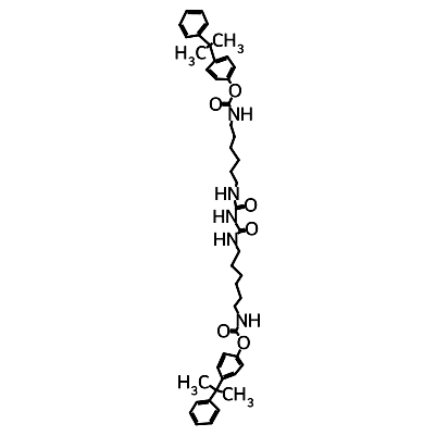 CC(C)(c1ccccc1)c1ccc(OC(=O)NCCCCCCNC(=O)NC(=O)NCCCCCCNC(=O)Oc2ccc(C(C)(C)c3ccccc3)cc2)cc1